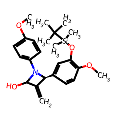 C=C1C(O)N(c2ccc(OC)cc2)[C@H]1c1ccc(OC)c(O[Si](C)(C)C(C)(C)C)c1